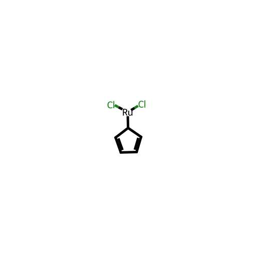 [Cl][Ru]([Cl])[CH]1C=CC=C1